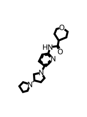 O=C(Nc1ccc(N2CC[C@H](N3CCCC3)C2)cn1)C1CCOCC1